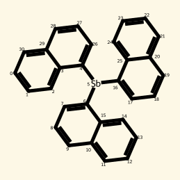 c1ccc2[c]([Sb]([c]3cccc4ccccc34)[c]3cccc4ccccc34)cccc2c1